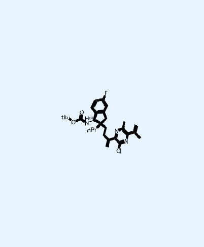 C=C(C)c1nc(Cl)c(C(=C)CCC2(CCC)Cc3cc(F)ccc3[C@H]2NC(=O)OC(C)(C)C)nc1C